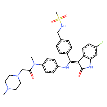 CN1CCN(CC(=O)N(C)c2ccc(N/C(=C3\C(=O)Nc4cc(F)ccc43)c3ccc(CNS(C)(=O)=O)cc3)cc2)CC1